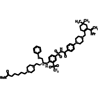 C=C(CCC)C1=C(CN2CCN(c3ccc(C(=O)NS(=O)(=O)c4ccc(N[C@H](CCN5CCN(CCCCCC(=O)NC)CC5)CSc5ccccc5)c(S(=O)(=O)C(F)(F)F)c4)cc3)CC2)CCC(C)(C)C1